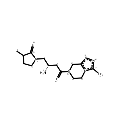 CC1CCN(C[C@@H](N)CC(=O)N2CCn3c(nnc3C(F)(F)F)C2)C1=O